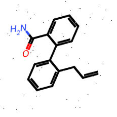 C=CCc1ccccc1-c1ccccc1C(N)=O